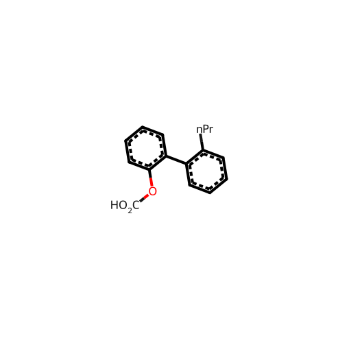 CCCc1ccccc1-c1ccccc1OC(=O)O